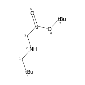 CC(C)(C)CNCC(=O)OC(C)(C)C